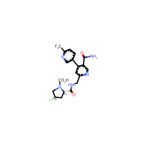 NC(=O)c1cnc(CNC(=O)[C@@H]2C[C@@H](F)CN2C(=O)O)cc1-c1ccc(C(F)(F)F)nc1